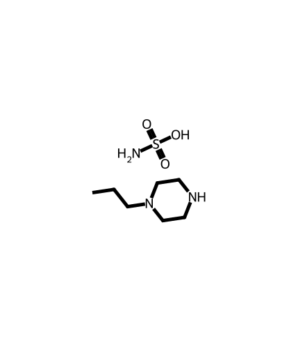 CCCN1CCNCC1.NS(=O)(=O)O